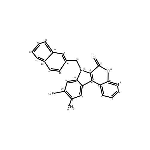 Cc1cc2c3c4cccnc4oc(=O)c3n(Cc3ccc4ccccc4c3)c2cc1F